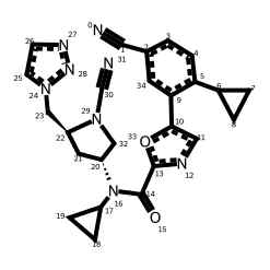 N#Cc1ccc(C2CC2)c(-c2cnc(C(=O)N(C3CC3)[C@@H]3C[C@@H](Cn4ccnn4)N(C#N)C3)o2)c1